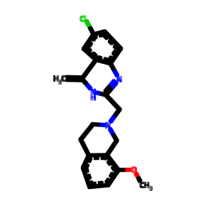 C=C1NC(CN2CCc3cccc(OC)c3C2)=Nc2ccc(Cl)cc21